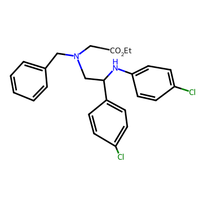 CCOC(=O)CN(Cc1ccccc1)CC(Nc1ccc(Cl)cc1)c1ccc(Cl)cc1